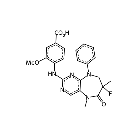 COc1cc(C(=O)O)ccc1Nc1ncc2c(n1)N(c1ccccc1)CC(C)(F)C(=O)N2C